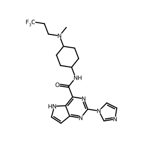 CN(CCC(F)(F)F)C1CCC(NC(=O)c2nc(-n3ccnc3)nc3cc[nH]c23)CC1